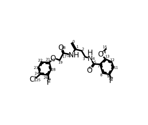 C=C(CCNC(=O)c1cc(F)ccc1OC)NC(=O)COc1ccc(Cl)c(F)c1